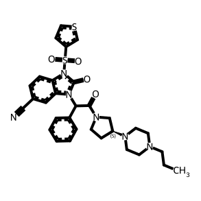 CCCN1CCN([C@H]2CCN(C(=O)C(c3ccccc3)n3c(=O)n(S(=O)(=O)c4ccsc4)c4ccc(C#N)cc43)C2)CC1